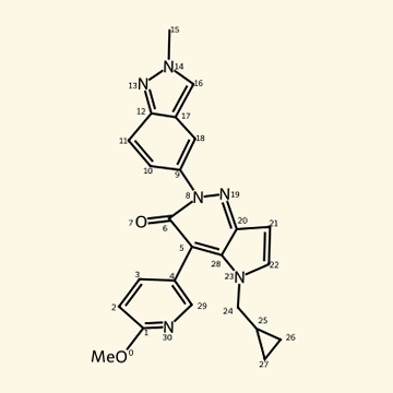 COc1ccc(-c2c(=O)n(-c3ccc4nn(C)cc4c3)nc3ccn(CC4CC4)c23)cn1